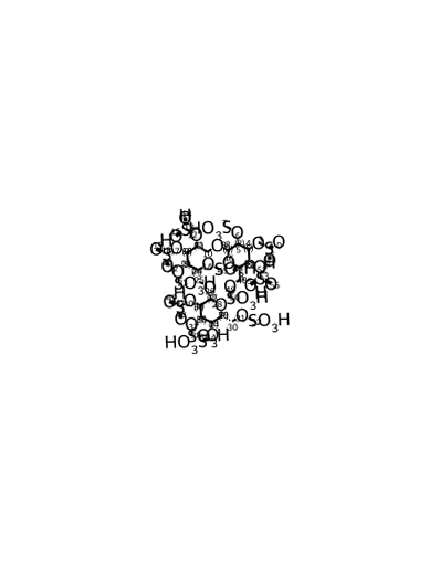 O=[SH](=O)O[C@@H]1[C@@H](OS(=O)(=O)O)[C@H](OC[C@H](O[SH](=O)=O)[C@@H](O[SH](=O)=O)[C@@H](OS(=O)(=O)O)[C@@H](CO[C@@H]2O[C@H](COS(=O)(=O)O)[C@@H](OS(=O)(=O)O)[C@H](OS(=O)(=O)O)[C@H]2O[SH](=O)=O)OS(=O)(=O)O)O[C@H](COS(=O)(=O)O)[C@H]1O[SH](=O)=O